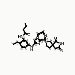 CCCC(=O)Nc1cc(Nc2nc3c(N4CCC5(CC(=O)NC5=O)C4)nccn3n2)ccc1CC